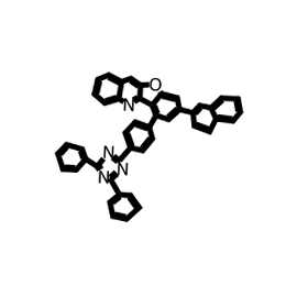 c1ccc(-c2nc(-c3ccccc3)nc(-c3ccc(-c4cc(-c5ccc6ccccc6c5)cc5oc6cc7ccccc7nc6c45)cc3)n2)cc1